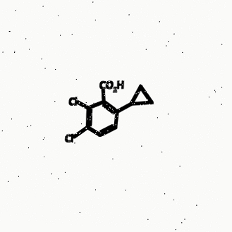 O=C(O)c1c(C2CC2)ccc(Cl)c1Cl